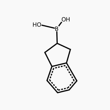 OB(O)C1Cc2ccccc2C1